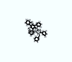 CNC(/N=C(\N=C\c1ccccc1)c1ccccc1)n1c2ccccc2c2c3sc4ccccc4c3c3sc4ccccc4c3c21